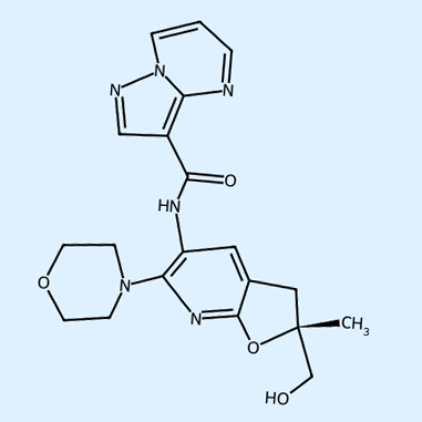 C[C@]1(CO)Cc2cc(NC(=O)c3cnn4cccnc34)c(N3CCOCC3)nc2O1